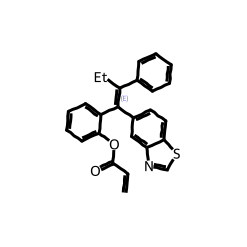 C=CC(=O)Oc1ccccc1/C(=C(\CC)c1ccccc1)c1ccc2scnc2c1